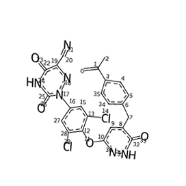 C=C(C)c1ccc(Cc2cc(Oc3c(Cl)cc(-n4nc(C#N)c(=O)[nH]c4=O)cc3Cl)n[nH]c2=O)cc1